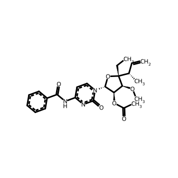 C=C[C@H](C)[C@@]1(CC)O[C@@H](n2ccc(NC(=O)c3ccccc3)nc2=O)[C@H](OC(C)=O)[C@@H]1OC